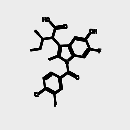 CC[C@@H](C)C(C(=O)O)c1c(C)n(C(=O)c2ccc(Cl)c(F)c2)c2cc(F)c(O)cc12